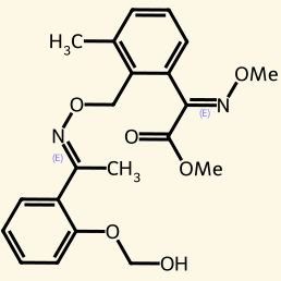 CO/N=C(/C(=O)OC)c1cccc(C)c1CO/N=C(\C)c1ccccc1OCO